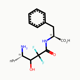 CCC[C@H](N)C(O)C(F)(F)C(=O)N[C@@H](Cc1ccccc1)C(=O)O